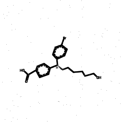 O=C(O)c1ccc([C@@H](CCCCCCO)c2ccc(Br)cc2)cc1